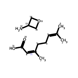 CC(C)=CCC/C(C)=C\C(=O)O.NC1COC1